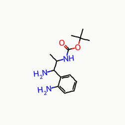 CC(NC(=O)OC(C)(C)C)C(N)c1ccccc1N